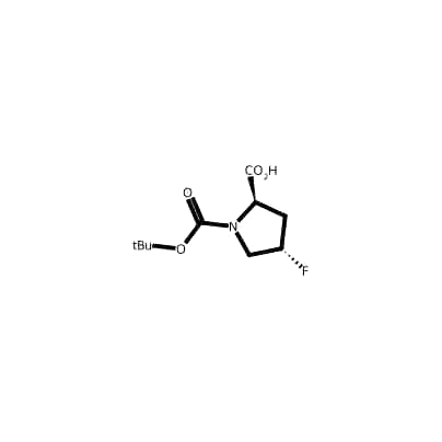 CC(C)(C)OC(=O)N1C[C@@H](F)C[C@@H]1C(=O)O